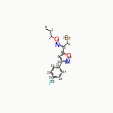 CCCON=C(CBr)c1cc(-c2ccc(F)cc2)no1